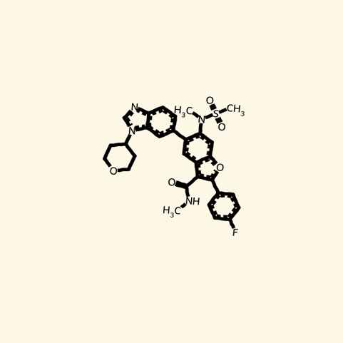 CNC(=O)c1c(-c2ccc(F)cc2)oc2cc(N(C)S(C)(=O)=O)c(-c3ccc4ncn(C5CCOCC5)c4c3)cc12